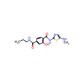 CCCNC(=O)c1ccc(C(=O)Nc2ncc(NC)s2)c(O)c1